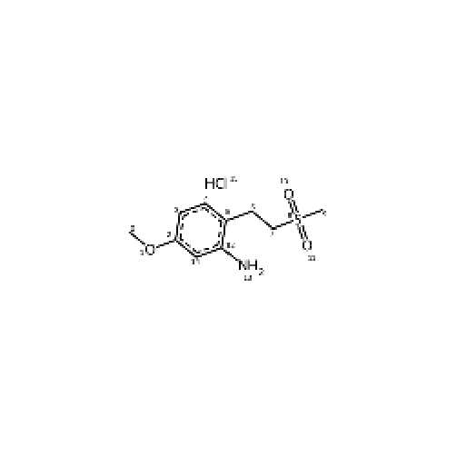 COc1ccc(CCS(C)(=O)=O)c(N)c1.Cl